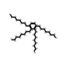 CCCCCCCCc1ccc(CCCCCCCC)c(CCCCCCCC)c1CCCCCCCC